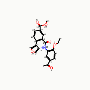 CCOc1ccc(C(C)=O)cc1NC(=O)c1cc(C(=O)OC)ccc1-c1ccoc1